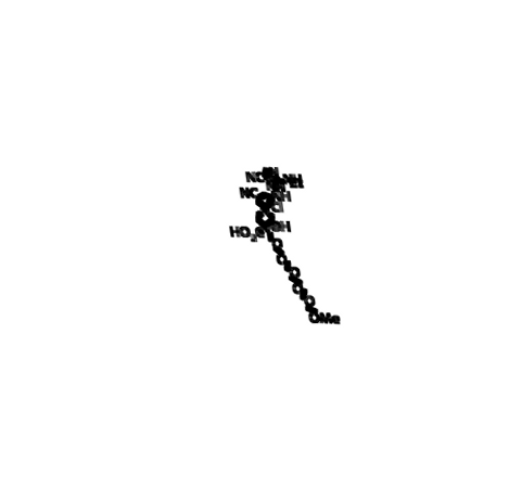 CCNc1nc(Nc2cc(C#N)cc(N3CC[C@@H](N(CCOCCOCCOCCOCCOCCOC)C(=O)O)[C@@H](O)C3)c2Cl)nn2c(C#N)cnc12